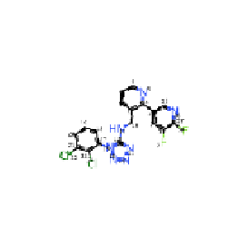 Fc1cc(-c2ncccc2CNc2nnnn2-c2cccc(Cl)c2Cl)cnc1F